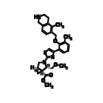 COC[C@H]1N(c2nc(-c3cccc(C)c3OCc3ccc4c(c3C)CCNC4)cs2)C[C@@H]2C[C@@]21C(=O)OC